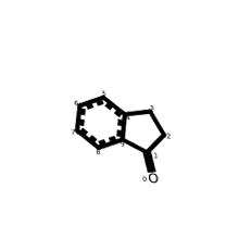 O=C1CCc2cc[c]cc21